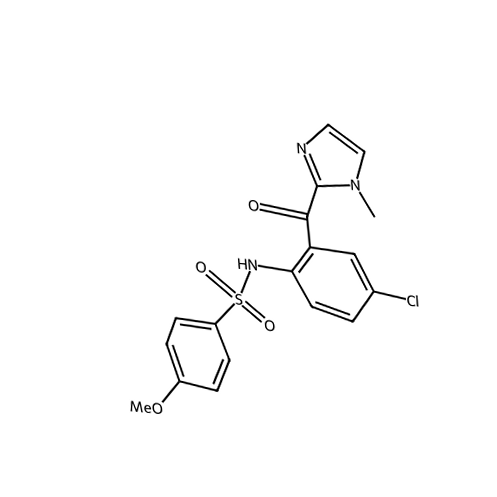 COc1ccc(S(=O)(=O)Nc2ccc(Cl)cc2C(=O)c2nccn2C)cc1